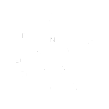 CCC1(CC)N(Cl)C(=O)N(Cl)C1(CC)CC